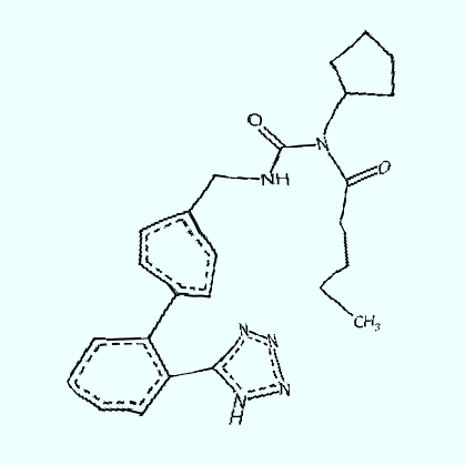 CCCCC(=O)N(C(=O)NCc1ccc(-c2ccccc2-c2nnn[nH]2)cc1)C1CCCC1